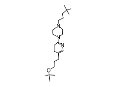 CC(C)(C)CCCN1CCN(c2ccc(CCCOC(C)(C)C)cn2)CC1